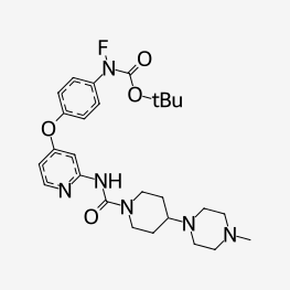 CN1CCN(C2CCN(C(=O)Nc3cc(Oc4ccc(N(F)C(=O)OC(C)(C)C)cc4)ccn3)CC2)CC1